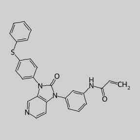 C=CC(=O)Nc1cccc(-n2c(=O)n(-c3ccc(Sc4ccccc4)cc3)c3cnccc32)c1